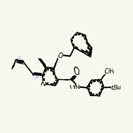 C=c1c(OCc2ccccc2)c(C(=O)Nc2ccc(C(C)(C)C)c(O)c2)cn/c1=C/C=C\C